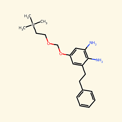 C[Si](C)(C)CCOCOc1cc(N)c(N)c(CCc2ccccc2)c1